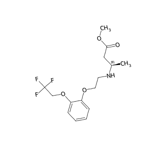 COC(=O)C[C@@H](C)NCCOc1ccccc1OCC(F)(F)F